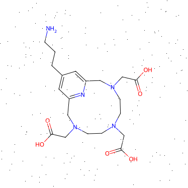 NCCCc1cc2nc(c1)CN(CC(=O)O)CCN(CC(=O)O)CCN(CC(=O)O)C2